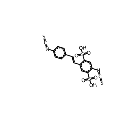 O=S(=O)(O)c1cc(N=C=S)c(S(=O)(=O)O)cc1C=Cc1ccc(N=C=S)cc1